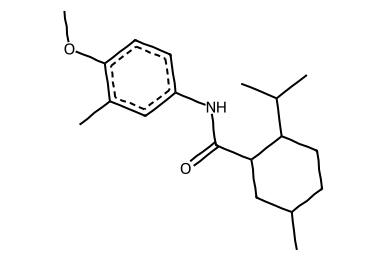 COc1ccc(NC(=O)C2CC(C)CCC2C(C)C)cc1C